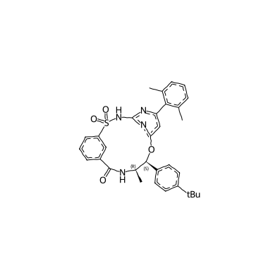 Cc1cccc(C)c1-c1cc2nc(n1)NS(=O)(=O)c1cccc(c1)C(=O)N[C@H](C)[C@H](c1ccc(C(C)(C)C)cc1)O2